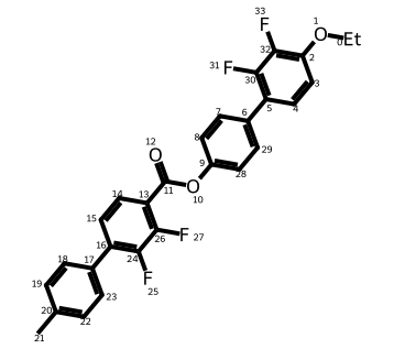 CCOc1ccc(-c2ccc(OC(=O)c3ccc(-c4ccc(C)cc4)c(F)c3F)cc2)c(F)c1F